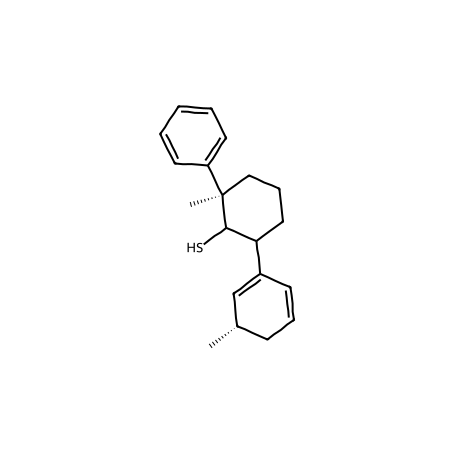 C[C@@H]1C=C(C2CCC[C@](C)(c3ccccc3)C2S)C=CC1